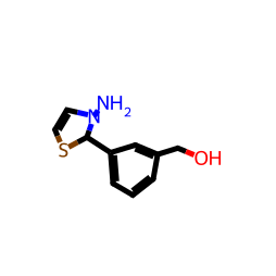 NN1C=CSC1c1cccc(CO)c1